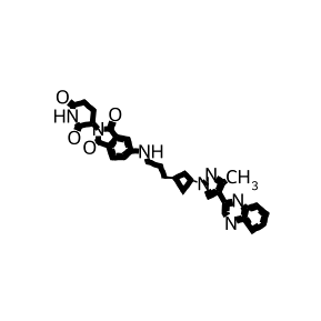 Cc1nn([C@H]2C[C@H](CCCNc3ccc4c(c3)C(=O)N(C3CCC(=O)NC3=O)C4=O)C2)cc1-c1cnc2ccccc2n1